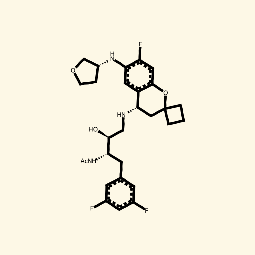 CC(=O)N[C@@H](Cc1cc(F)cc(F)c1)[C@@H](O)CN[C@H]1CC2(CCC2)Oc2cc(F)c(N[C@@H]3CCOC3)cc21